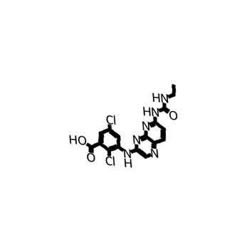 CCNC(=O)Nc1ccc2ncc(Nc3cc(Cl)cc(C(=O)O)c3Cl)nc2n1